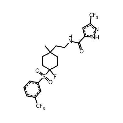 CC1(CCNC(=O)c2cc(C(F)(F)F)n[nH]2)CCC(F)(S(=O)(=O)c2cccc(C(F)(F)F)c2)CC1